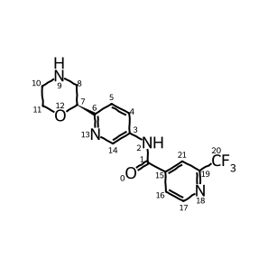 O=C(Nc1ccc([C@@H]2CNCCO2)nc1)c1ccnc(C(F)(F)F)c1